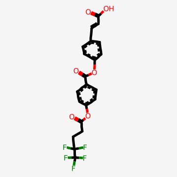 O=C(O)C=Cc1ccc(OC(=O)c2ccc(OC(=O)CCC(F)(F)C(F)(F)F)cc2)cc1